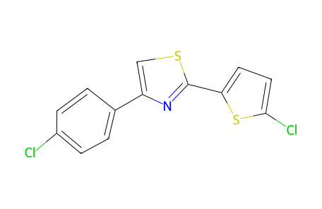 Clc1ccc(-c2csc(-c3ccc(Cl)s3)n2)cc1